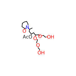 CC(=O)OC(CC(COCCO)OCCOCCO)CC(C)N1CCCCCC1=O